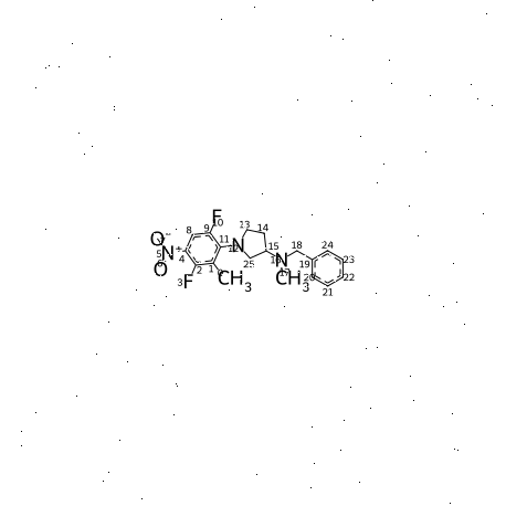 Cc1c(F)c([N+](=O)[O-])cc(F)c1N1CCC(N(C)Cc2ccccc2)C1